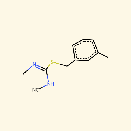 CN=C(NC#N)SCc1cccc(C)c1